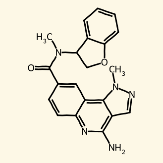 CN(C(=O)c1ccc2nc(N)c3cnn(C)c3c2c1)C1COc2ccccc21